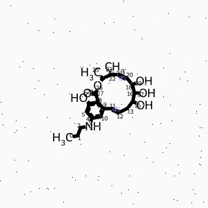 CCCNc1cc(O)c2c(c1)/C=C/CC(O)C(O)C(O)/C=C\[C@@H](C)C(C)OC2=O